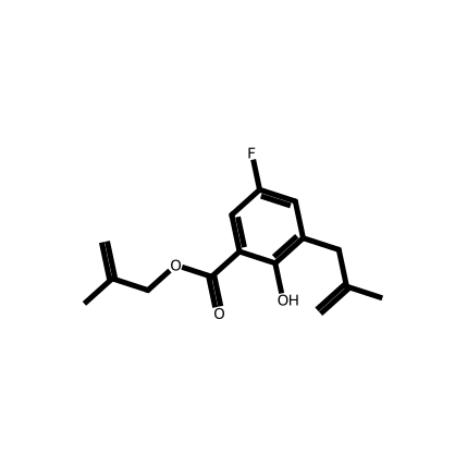 C=C(C)COC(=O)c1cc(F)cc(CC(=C)C)c1O